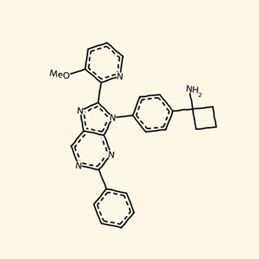 COc1cccnc1-c1nc2cnc(-c3ccccc3)nc2n1-c1ccc(C2(N)CCC2)cc1